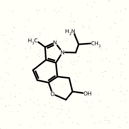 Cc1nn(CC(C)N)c2c3c(ccc12)OCC(O)C3